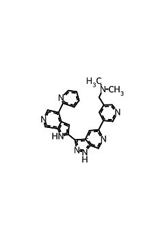 CN(C)Cc1cncc(-c2cc3c(-c4cc5c(-c6ccccn6)cncc5[nH]4)n[nH]c3cn2)c1